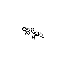 CCOc1ccc(NC(=O)C(=O)Nc2ccccc2CC)cc1